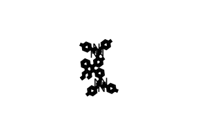 C=C/C=c1\c(=C/C)c(-c2cccc(-c3nc(-c4ccc(C)cc4)nc(-c4ccc(C)cc4)n3)c2)c(C2=CC(c3nc(-c4ccc(C)cc4)nc(-c4ccc(C)cc4)n3)C(C)C=C2)c2ccccc12